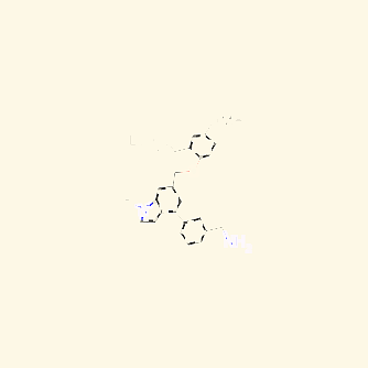 CCOC(=O)Cc1cc(OC)ccc1OCc1cc(-c2cccc(CN)c2)c2ccn(C(C)C)c2c1